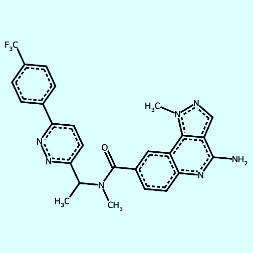 CC(c1ccc(-c2ccc(C(F)(F)F)cc2)nn1)N(C)C(=O)c1ccc2nc(N)c3cnn(C)c3c2c1